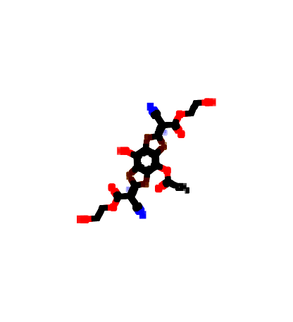 CC(=O)Oc1c2c(c(O)c3c1S/C(=C(\C#N)C(=O)OCCO)S3)S/C(=C(\C#N)C(=O)OCCO)S2